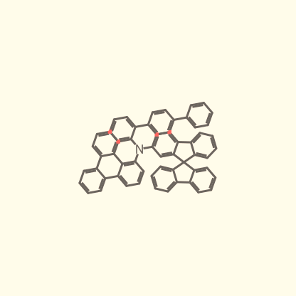 c1ccc(-c2ccc(-c3ccccc3N(c3ccc4c(c3)C3(c5ccccc5-c5ccccc53)c3ccccc3-4)c3cccc4c5ccccc5c5ccccc5c34)cc2)cc1